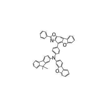 CC1(C)c2ccccc2-c2ccc(N(c3ccc(-c4c5nc(-c6ccccc6)oc5cc5c4oc4ccccc45)cc3)c3ccc4c(c3)oc3ccccc34)cc21